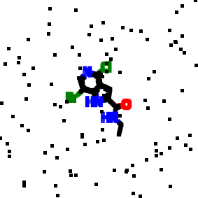 CCNC(=O)c1cc2c(Cl)ncc(Br)c2[nH]1